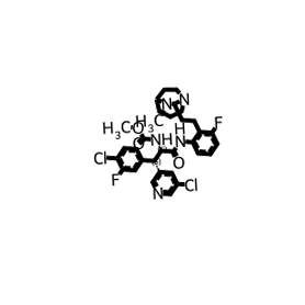 COC(=O)N[C@H](C(=O)Nc1cccc(F)c1CCC1N2CCCC(CC2)N1C)[C@H](c1cncc(Cl)c1)c1ccc(Cl)c(F)c1